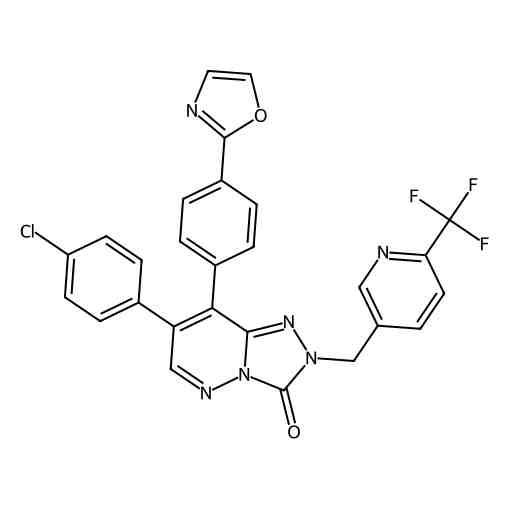 O=c1n(Cc2ccc(C(F)(F)F)nc2)nc2c(-c3ccc(-c4ncco4)cc3)c(-c3ccc(Cl)cc3)cnn12